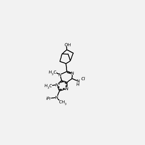 CC(C)N(C)c1nc2c(n1C)N(C)C(C1CC3CC1CC3O)=NC2NCl